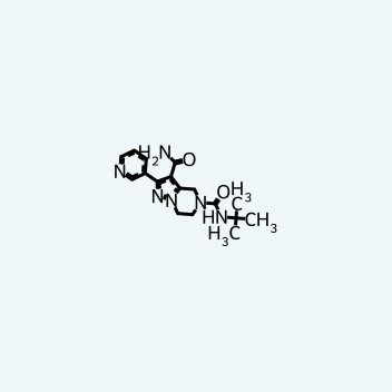 CC(C)(C)NC(=O)N1CCn2nc(-c3cccnc3)c(C(N)=O)c2C1